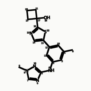 Cc1cc(Nc2ncn(C)n2)cc(-c2cnc(C3(O)CCC3)s2)c1